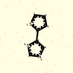 [c]1csc(-c2cncs2)c1